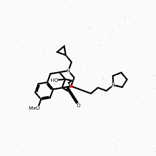 COc1ccc2c(c1)C13CCN(CC4CC4)C(C2)C1(O)CCN(CCCN1CCCC1)C(=O)C3